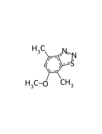 COc1cc(C)c2nnsc2c1C